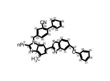 CCCc1nc2c(C)cc(-c3nc4cc(COc5ccccc5)ccc4s3)cc2n1Cc1ccc(-c2ccccc2)c(C#N)c1